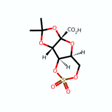 CC1(C)O[C@H]2[C@@H]3OS(=O)(=O)OC[C@@H]3O[C@@]2(C(=O)O)O1